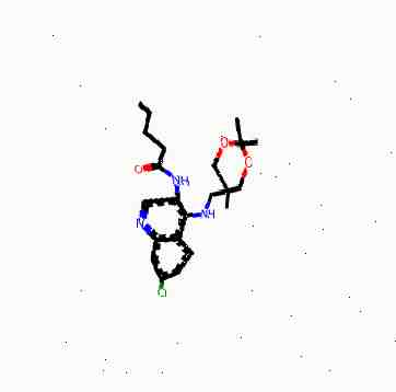 CCCCC(=O)Nc1cnc2cc(Cl)ccc2c1NCC1(C)COC(C)(C)OC1